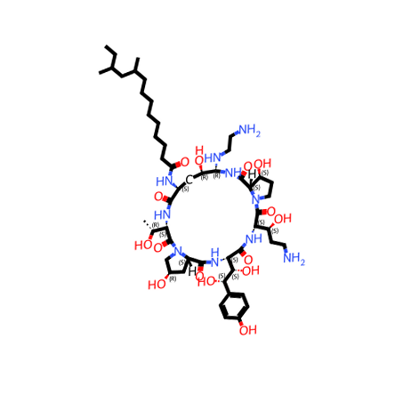 CCC(C)CC(C)CCCCCCCCC(=O)N[C@H]1C[C@@H](O)[C@H](NCCN)NC(=O)[C@@H]2[C@@H](O)CCN2C(=O)[C@H]([C@@H](O)CCN)NC(=O)[C@H]([C@H](O)[C@@H](O)c2ccc(O)cc2)NC(=O)[C@@H]2C[C@@H](O)CN2C(=O)[C@H]([C@@H](C)O)NC1=O